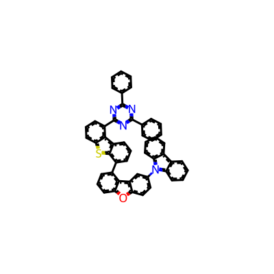 c1ccc(-c2nc(-c3ccccc3)nc(-c3cccc4sc5c(-c6cccc7oc8ccc(-n9c%10ccccc%10c%10ccccc%109)cc8c67)cccc5c34)n2)cc1